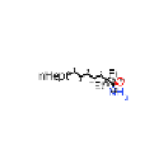 CCCCCCCCCCCCC(CC)(CC)C(N)=O